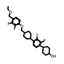 CCOCc1ccc(OCC2CCC(c3ccc(C4CCC(O)CC4)c(F)c3F)CC2)c(F)c1F